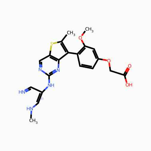 CN/C=C(\C=N)Nc1ncc2sc(C)c(-c3ccc(OCC(=O)O)cc3OC)c2n1